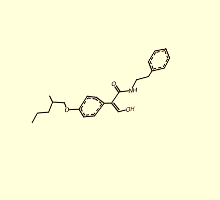 CCCC(C)COc1ccc(C(=CO)C(=O)NCCc2ccccc2)cc1